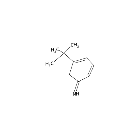 CC(C)(C)C1=CC=CC(=N)C1